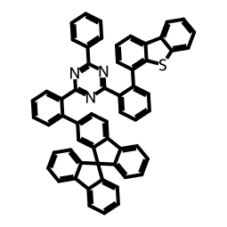 c1ccc(-c2nc(-c3ccccc3-c3ccc4c(c3)C3(c5ccccc5-c5ccccc53)c3ccccc3-4)nc(-c3ccccc3-c3cccc4c3sc3ccccc34)n2)cc1